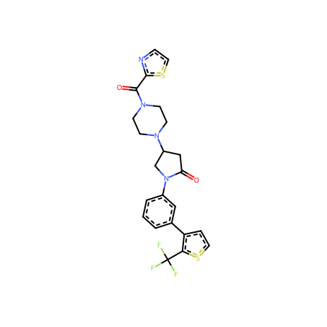 O=C(c1nccs1)N1CCN(C2CC(=O)N(c3cccc(-c4ccsc4C(F)(F)F)c3)C2)CC1